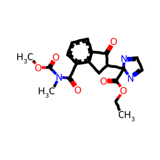 CCOC(=O)C1(C2Cc3c(cccc3C(=O)N(C)C(=O)OC)C2=O)N=CC=N1